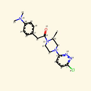 C[C@H]1CN(c2ccc(Cl)nn2)CCN1C(=O)Cc1ccc(N(C)C)cc1